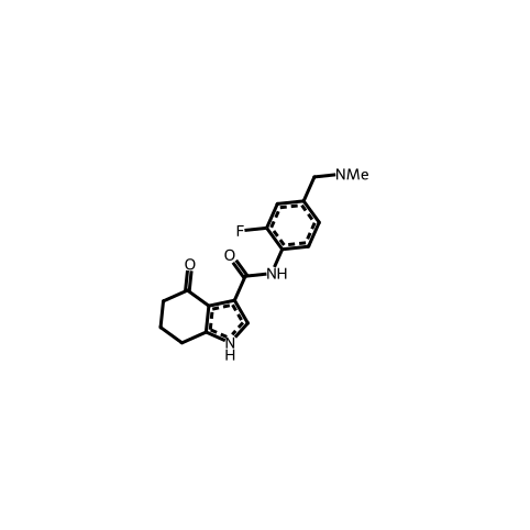 CNCc1ccc(NC(=O)c2c[nH]c3c2C(=O)CCC3)c(F)c1